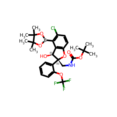 CC(C)(C)OC(=O)NC[C@]1(c2ccccc2OC(F)(F)F)Oc2ccc(Cl)c(B3OC(C)(C)C(C)(C)O3)c2[C@@H]1O